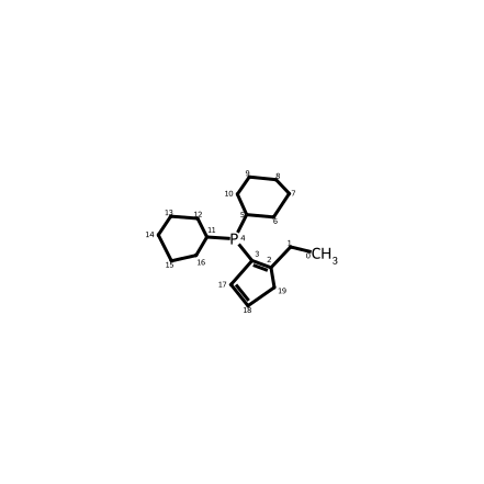 CCC1=C(P(C2CCCCC2)C2CCCCC2)C=CC1